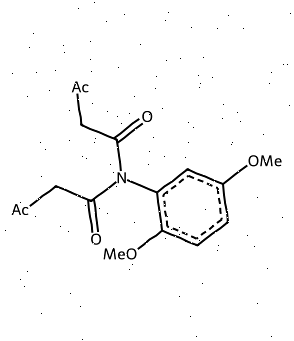 COc1ccc(OC)c(N(C(=O)CC(C)=O)C(=O)CC(C)=O)c1